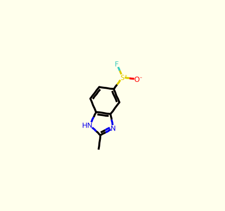 Cc1nc2cc([S+]([O-])F)ccc2[nH]1